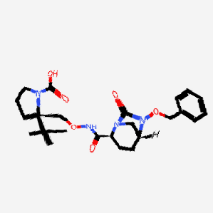 CC(C)(C)[C@]1(CONC(=O)[C@@H]2CC[C@@H]3CN2C(=O)N3OCc2ccccc2)CCCN1C(=O)O